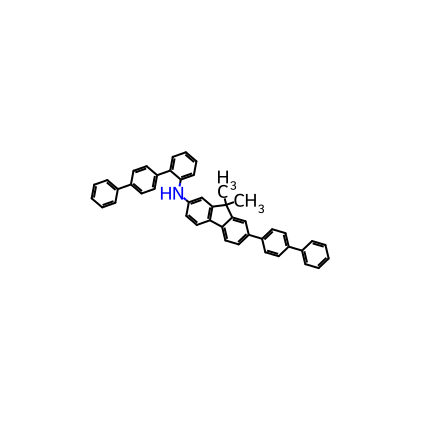 CC1(C)c2cc(Nc3ccccc3-c3ccc(-c4ccccc4)cc3)ccc2-c2ccc(-c3ccc(-c4ccccc4)cc3)cc21